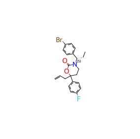 C=CCC1(c2ccc(F)cc2)CCN([C@@H](CC)c2ccc(Br)cc2)C(=O)O1